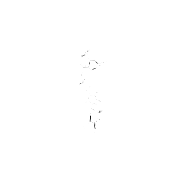 Cc1cn([C@@H]2O[C@H](COC(=O)OCC(C)c3ccc(I)cc3[N+](=O)[O-])C(O)C2O)c(=O)[nH]c1=O